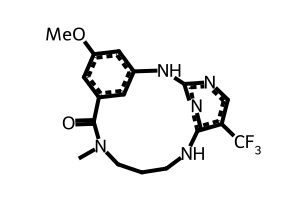 COc1cc2cc(c1)C(=O)N(C)CCCNc1nc(ncc1C(F)(F)F)N2